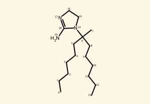 CCCCCCC(C)(CCCCCC)N1CCN=C1N